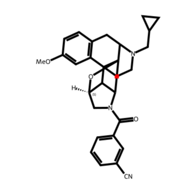 COc1ccc2c(c1)C13CCN(CC4CC4)C(C2)C12CCC1C3[C@@H](CN1C(=O)c1cccc(C#N)c1)O2